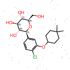 CC1(C)CCC(Oc2cc([C@@H]3O[C@H](CO)[C@@H](O)[C@H](O)[C@H]3O)ccc2Cl)CC1